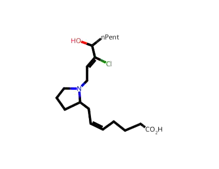 CCCCCC(O)/C(Cl)=C/CN1CCCC1C/C=C\CCCC(=O)O